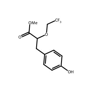 COC(=O)C(Cc1ccc(O)cc1)OCC(F)(F)F